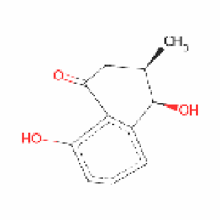 C[C@@H]1CC(=O)c2c(O)cccc2[C@@H]1O